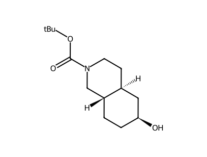 CC(C)(C)OC(=O)N1CC[C@H]2C[C@@H](O)CC[C@@H]2C1